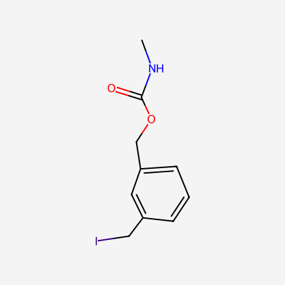 CNC(=O)OCc1cccc(CI)c1